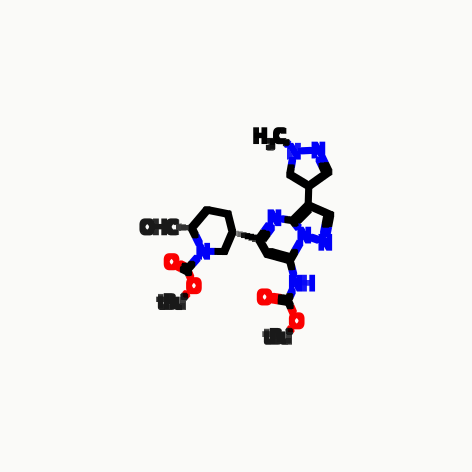 CN1CC(c2cnn3c(NC(=O)OC(C)(C)C)cc([C@H]4CC[C@@H](C=O)N(C(=O)OC(C)(C)C)C4)nc23)C=N1